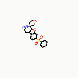 O=S(=O)(c1ccccc1)c1ccc2c3c(oc2c1)[C@]1(CCOC1)NCC3